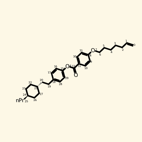 C=CCCCCCOc1ccc(C(=O)Oc2ccc(CC[C@H]3CC[C@H](CCC)CC3)cc2)cc1